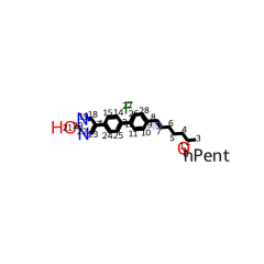 CCCCCOC(C)CCC/C=C/c1ccc(-c2ccc(-c3cnc(O)nc3)cc2)c(F)c1